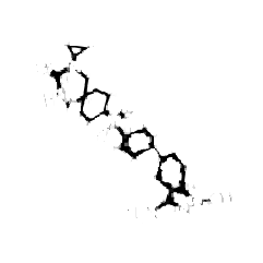 Cn1nc(N)c2cc(-c3ccc(S(=O)(=O)C4CCC5(CC4)CN(C4CC4)C(=O)NO5)cc3)ccc21